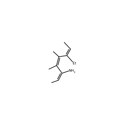 C\C=C(CC)/C(C)=C(C)\C(N)=C/C